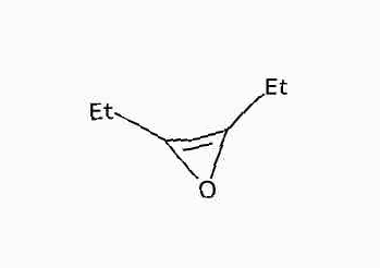 CCC1=C(CC)O1